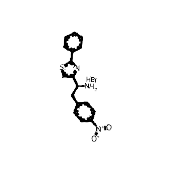 Br.N[C@@H](Cc1ccc([N+](=O)[O-])cc1)c1csc(-c2ccccc2)n1